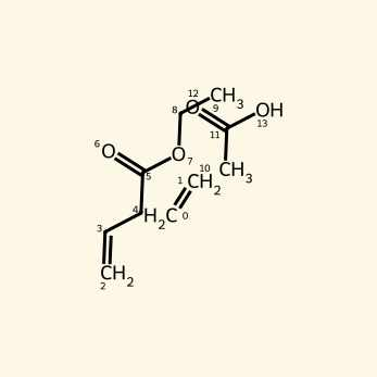 C=C.C=CCC(=O)OCC.CC(=O)O